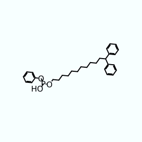 OP(OCCCCCCCCCCCC(c1ccccc1)c1ccccc1)Oc1ccccc1